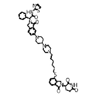 O=C1CCC(N2Cc3c(SCCCCCCN4CCN(C5CCN(c6ccc7c(c6)C(=O)N(C(C(=O)Nc6nccs6)c6ccccc6)C7)CC5)CC4)cccc3C2=O)C(=O)N1